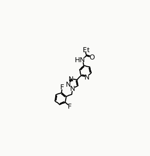 CCC(=O)Nc1ccnc(-c2cn(Cc3c(F)cccc3F)nn2)c1